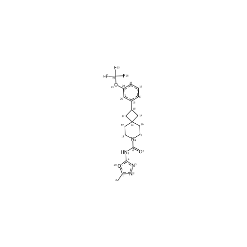 Cc1nnc(NC(=O)N2CCC3(CC2)CC(c2cccc(OC(F)(F)F)c2)C3)o1